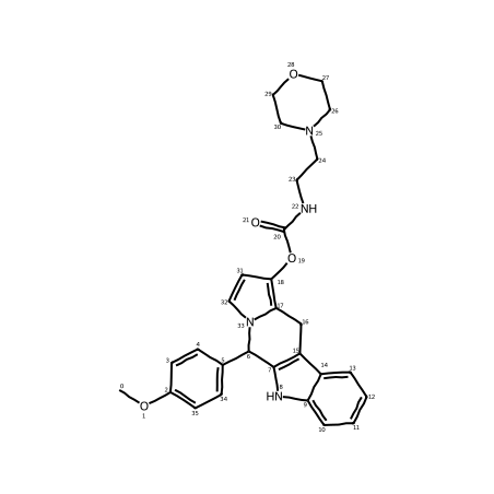 COc1ccc(C2c3[nH]c4ccccc4c3Cc3c(OC(=O)NCCN4CCOCC4)ccn32)cc1